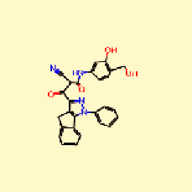 N#CC(C(=O)Nc1ccc(CO)c(O)c1)C(=O)c1nn(-c2ccccc2)c2c1Cc1ccccc1-2